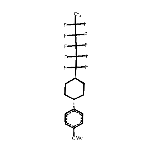 COc1ccc([C@H]2CC[C@H](C(F)(F)C(F)(F)C(F)(F)C(F)(F)C(F)(F)C(F)(F)F)CC2)cc1